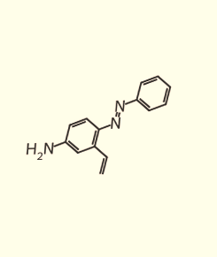 C=Cc1cc(N)ccc1N=Nc1ccccc1